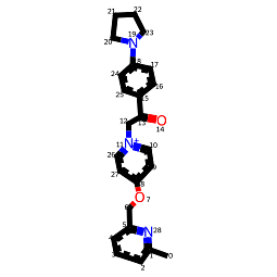 Cc1cccc(COc2cc[n+](CC(=O)c3ccc(N4CCCC4)cc3)cc2)n1